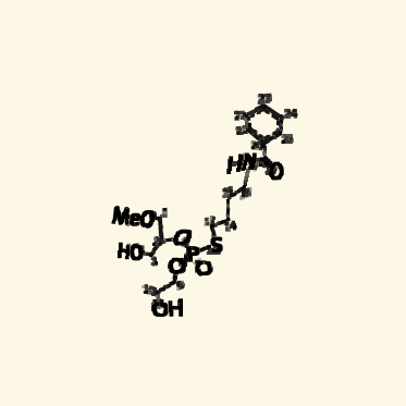 COCC(CO)OP(=O)(OCCO)SCCCCNC(=O)c1ccccc1